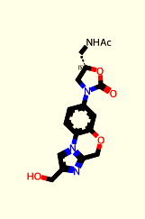 CC(=O)NC[C@H]1CN(c2ccc3c(c2)OCc2nc(CO)cn2-3)C(=O)O1